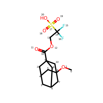 COC12CC3CC(C1)CC(C(=O)OCC(F)(F)S(=O)(=O)O)(C3)C2